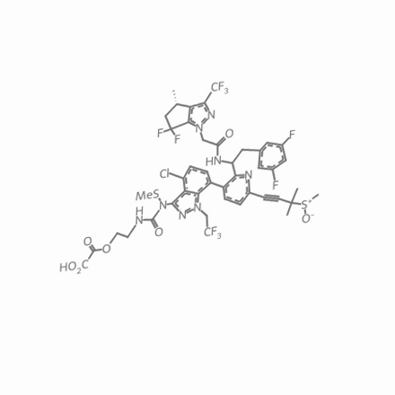 CSN(C(=O)NCCOC(=O)C(=O)O)c1nn(CC(F)(F)F)c2c(-c3ccc(C#CC(C)(C)[S+](C)[O-])nc3C(Cc3cc(F)cc(F)c3)NC(=O)Cn3nc(C(F)(F)F)c4c3C(F)(F)C[C@@H]4C)ccc(Cl)c12